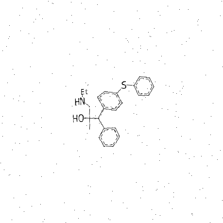 CCNCC(C)(O)C(c1ccccc1)c1ccc(Sc2ccccc2)cc1